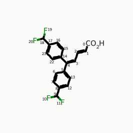 O=C(O)C=CC=C(c1ccc(C(F)F)cc1)c1ccc(C(F)F)cc1